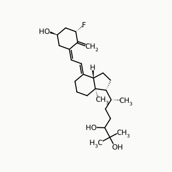 C=C1/C(=C\C=C2/CCC[C@]3(C)[C@@H]([C@H](C)CCC(O)C(C)(C)O)CC[C@@H]23)C[C@@H](O)C[C@@H]1F